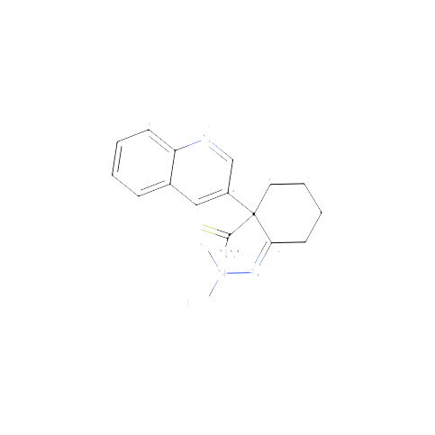 CNC(=S)C1(c2cnc3ccccc3c2)CCCC/C1=N/N(C)C